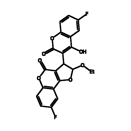 CCOC1Oc2c(c(=O)oc3ccc(F)cc23)C1c1c(O)c2cc(F)ccc2oc1=O